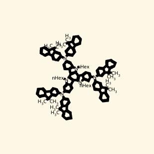 CCCCCCn1c2cc(N(c3ccc4c(c3)C(C)(C)c3ccccc3-4)c3ccc4c(c3)C(C)(C)c3ccccc3-4)ccc2c2c1c1c3ccc(N(c4ccc5c(c4)C(C)(C)c4ccccc4-5)c4ccc5c(c4)C(C)(C)c4ccccc4-5)cc3n(CCCCCC)c1c1c3ccc(N(c4ccc5c(c4)C(C)(C)c4ccccc4-5)c4ccc5c(c4)C(C)(C)c4ccccc4-5)cc3n(CCCCCC)c21